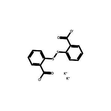 O=C([O-])c1ccccc1SSc1ccccc1C(=O)[O-].[K+].[K+]